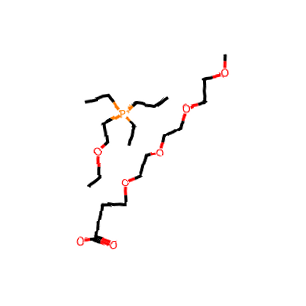 CCC[P+](CC)(CC)CCOCC.COCCOCCOCCOCCC(=O)[O-]